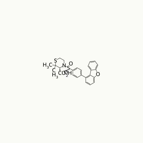 CC1(C)SCCN(S(=O)(=O)c2ccc(-c3cccc4oc5ccccc5c34)cc2)[C@H]1C(=O)O